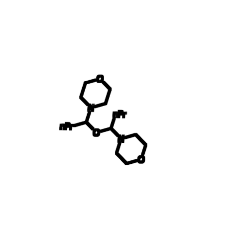 CCCC(OC(CCC)N1CCOCC1)N1CCOCC1